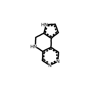 c1cc2c([nH]1)CNc1cnncc1-2